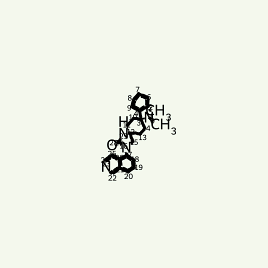 CN(C)[C@]1(c2ccccc2)CC[C@]2(CC1)CN(c1cccc3cnccc13)C(=O)N2